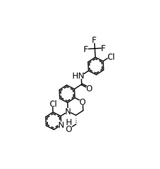 O=C(Nc1ccc(Cl)c(C(F)(F)F)c1)c1cccc2c1OC[C@H](CO)N2c1ncccc1Cl